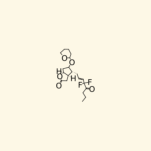 CCCC(=O)C(F)(F)/C=C/C[C@@H]1[C@H]2CC(=O)O[C@H]2C[C@H]1OC1CCCCO1